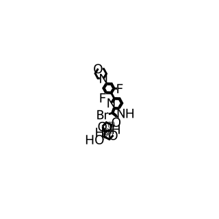 O[C@@H]1CO[C@H]2[C@@H]1OC[C@H]2Oc1[nH]c2ccc(-c3c(F)cc(N4CCOCC4)cc3F)nc2c1Br